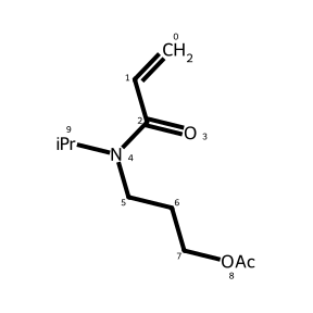 C=CC(=O)N(CCCOC(C)=O)C(C)C